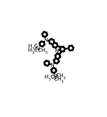 C[Si](C)(C)c1ccc(N(c2ccccc2)c2ccc3cc4c5cc(-c6ccccc6)cc6c7cc8ccc(N(c9ccccc9)c9ccc([Si](C)(C)C)cc9)cc8cc7n(c4cc3c2)c56)cc1